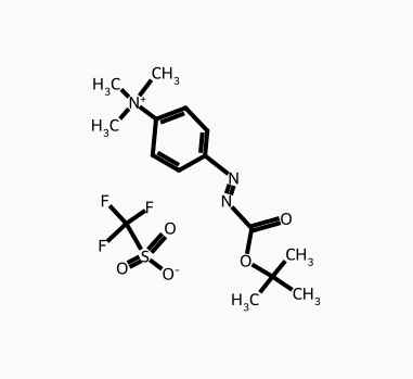 CC(C)(C)OC(=O)N=Nc1ccc([N+](C)(C)C)cc1.O=S(=O)([O-])C(F)(F)F